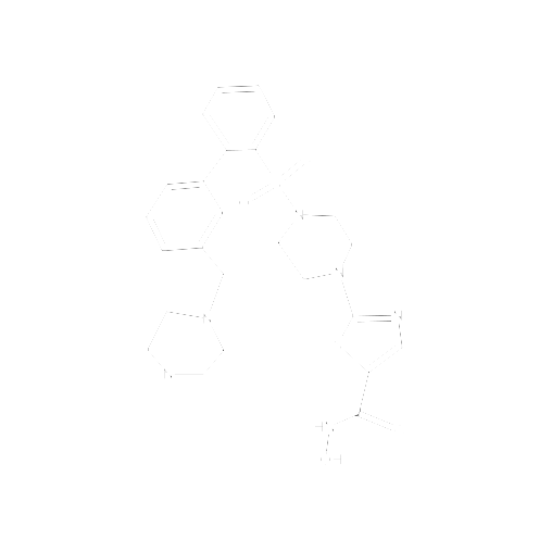 O=C(NO)c1cnc(N2CCN(S(=O)(=O)c3ccccc3-c3cccc(CN4CCNCC4)c3)CC2)s1